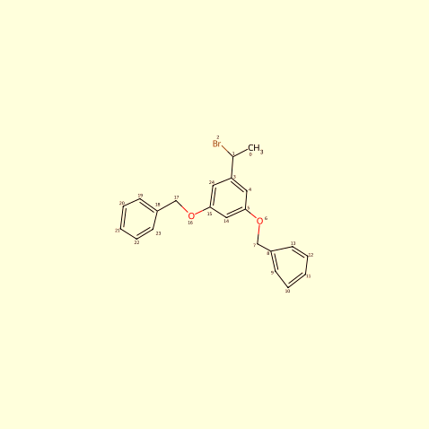 CC(Br)c1cc(OCc2ccccc2)cc(OCc2ccccc2)c1